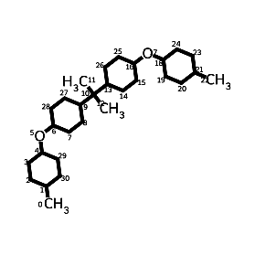 CC1CCC(OC2CCC(C(C)(C)C3CCC(OC4CCC(C)CC4)CC3)CC2)CC1